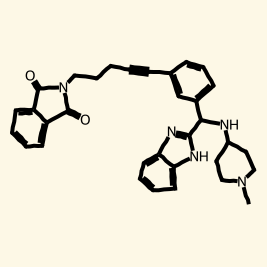 CN1CCC(NC(c2cccc(C#CCCCN3C(=O)c4ccccc4C3=O)c2)c2nc3ccccc3[nH]2)CC1